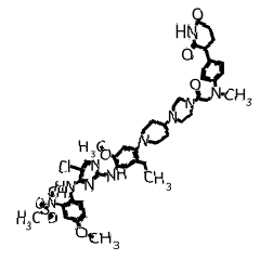 CCc1cc(Nc2ncc(Cl)c(Nc3ccc(OC)cc3N(C)S(C)(=O)=O)n2)c(OC)cc1N1CCC(N2CCN(C(=O)CN(C)c3ccc(C4CCC(=O)NC4=O)cc3)CC2)CC1